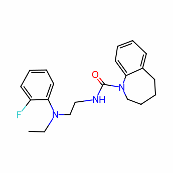 CCN(CCNC(=O)N1CCCCc2ccccc21)c1ccccc1F